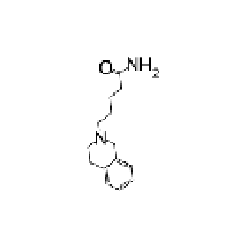 NC(=O)CCCCN1CCc2ccccc2C1